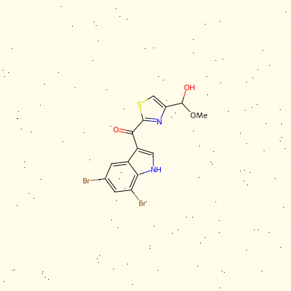 COC(O)c1csc(C(=O)c2c[nH]c3c(Br)cc(Br)cc23)n1